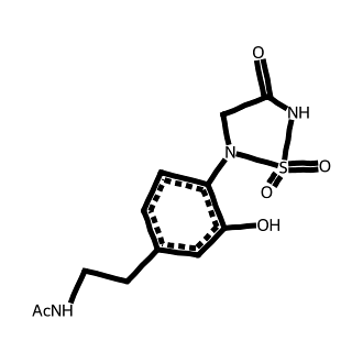 CC(=O)NCCc1ccc(N2CC(=O)NS2(=O)=O)c(O)c1